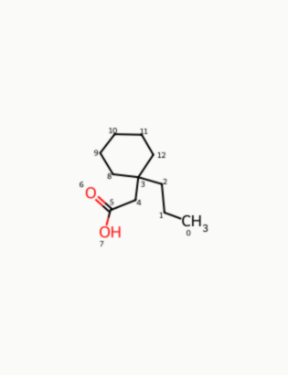 CCCC1(CC(=O)O)CCCCC1